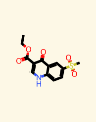 CCOC(=O)c1[c][nH]c2ccc(S(C)(=O)=O)cc2c1=O